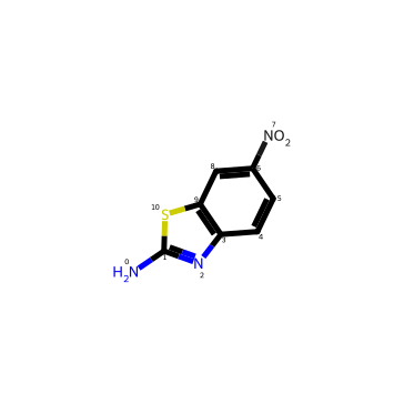 Nc1nc2ccc([N+](=O)[O-])cc2s1